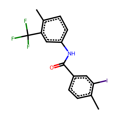 Cc1ccc(C(=O)Nc2ccc(C)c(C(F)(F)F)c2)cc1I